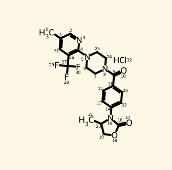 Cc1cnc(N2CCN(C(=O)c3ccc(N4C(=O)OCC4C)cc3)CC2)c(C(F)(F)F)c1.Cl